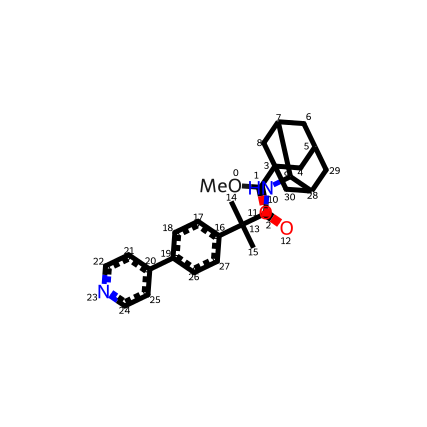 COC(=O)C12CC3CC(C1)C(NC(=O)C(C)(C)c1ccc(-c4ccncc4)cc1)C(C3)C2